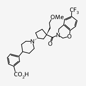 COCC[C@]1(C(=O)N2COc3ccc(C(F)(F)F)cc3C2)CC[C@@H](N2CCC(c3cccc(C(=O)O)c3)CC2)C1